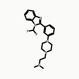 CN(C)CCN1CCN(c2cccc(-c3nc4ccccc4n3C(F)F)c2)CC1